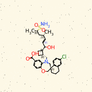 C[C@H](/C=C/C(O)[C@@H]1CC[C@H]1CN1C[C@@]2(CCCc3cc(Cl)ccc32)COc2ccc(C(=O)O)cc21)C[C@@H](C)S(N)(=O)=O